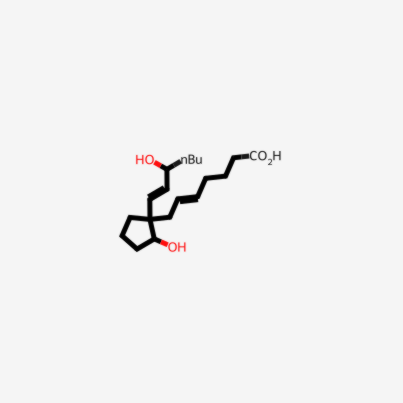 CCCCC(O)C=CC1(CC=CCCCC(=O)O)CCCC1O